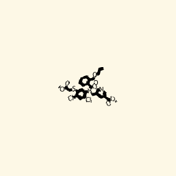 C=CCOC(=O)C1=C(C(=O)N(Cc2cncc(C(=O)OC)c2)c2cc(SCC(=O)OC)c(Cl)cc2Cl)CCCC1